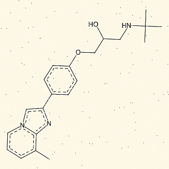 Cc1cccn2cc(-c3ccc(OCC(O)CNC(C)(C)C)cc3)nc12